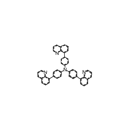 c1cnc2c(-c3ccc(N(c4ccc(-c5cccc6cccnc56)cc4)c4ccc(-c5cccc6cccnc56)cc4)cc3)cccc2c1